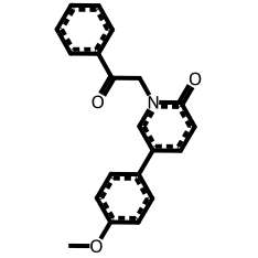 COc1ccc(-c2ccc(=O)n(CC(=O)c3ccccc3)c2)cc1